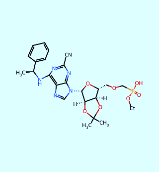 CCOP(=O)(O)COC[C@H]1O[C@@H](n2cnc3c(N[C@@H](C)c4ccccc4)nc(C#N)nc32)[C@@H]2OC(C)(C)O[C@@H]21